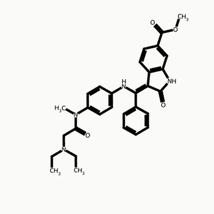 CCN(CC)CC(=O)N(C)c1ccc(NC(=C2C(=O)Nc3cc(C(=O)OC)ccc32)c2ccccc2)cc1